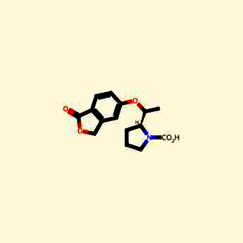 CC(Oc1ccc2c(c1)COC2=O)[C@@H]1CCCN1C(=O)O